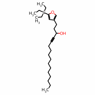 CCCCCCCCCCCC#CC(O)CCc1coc([Si](CC)(CC)CC)c1